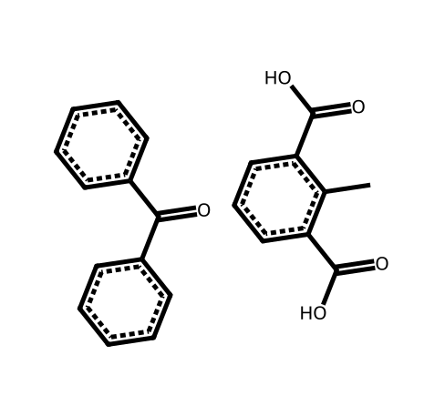 Cc1c(C(=O)O)cccc1C(=O)O.O=C(c1ccccc1)c1ccccc1